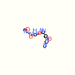 Nc1ncc(-c2ccc(C(=O)N3CCC(N4CCCC4)CC3)cc2)cc1OCc1ccc(C(=O)NCCCN2CCCC2=O)cc1